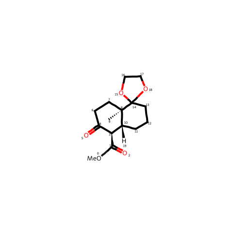 COC(=O)[C@H]1C(=O)CC[C@]2(C)[C@@H]1CCCC21OCCO1